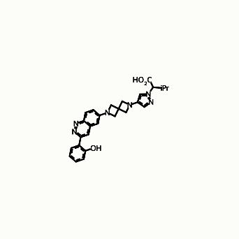 CC(C)C(C(=O)O)n1cc(N2CC3(CN(c4ccc5nnc(-c6ccccc6O)cc5c4)C3)C2)cn1